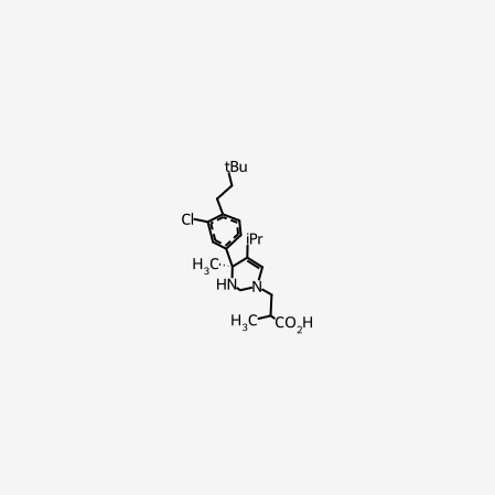 CC(C)C1=CN(CC(C)C(=O)O)CN[C@@]1(C)c1ccc(CCC(C)(C)C)c(Cl)c1